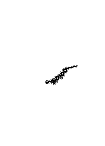 CCCCCCCCOc1ccc(-c2ccc(C(=O)Oc3ccc(C(=O)OC(CCCCOC)C(F)(F)F)cc3)cc2)cc1